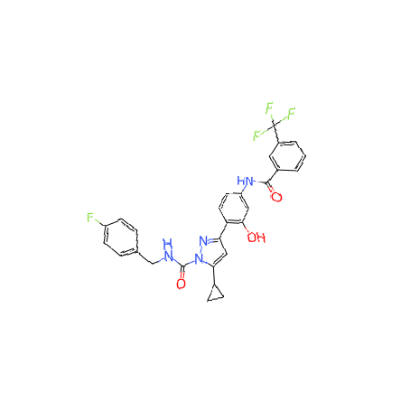 O=C(Nc1ccc(-c2cc(C3CC3)n(C(=O)NCc3ccc(F)cc3)n2)c(O)c1)c1cccc(C(F)(F)F)c1